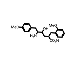 COc1ccc(CC(N)C(O)CC(Cc2ccccc2OC)C(=O)O)cc1